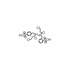 O=C(CCCl)N(CCN(Cc1ccccc1S(=O)(=O)O)C(=O)CCCl)Cc1ccc(S(=O)(=O)O)cc1